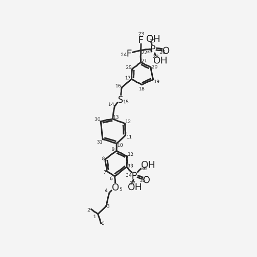 CC(C)CCOc1ccc(-c2ccc(CSCc3cccc(C(F)(F)P(=O)(O)O)c3)cc2)cc1P(=O)(O)O